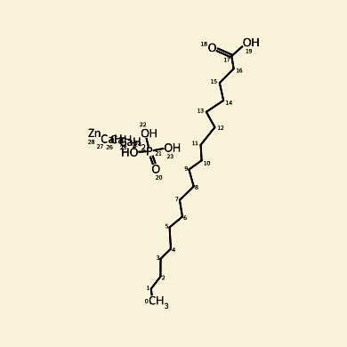 CCCCCCCCCCCCCCCCCC(=O)O.O=P(O)(O)O.[CaH2].[CaH2].[CaH2].[Zn]